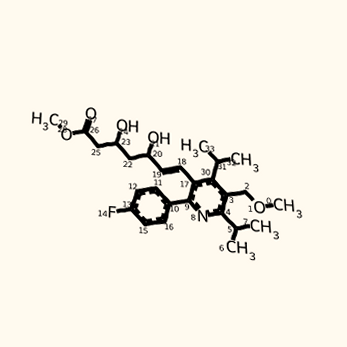 COCc1c(C(C)C)nc(-c2ccc(F)cc2)c(C=CC(O)CC(O)CC(=O)OC)c1C(C)C